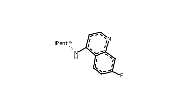 C[CH]C[C@@H](C)Nc1ccnc2cc(F)ccc12